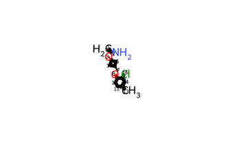 C=C(N)O[C@H]1C[C@@H](COC2CCC(C)=CC2Cl)C1